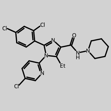 CCc1c(C(=O)NN2CCCCC2)nc(-c2ccc(Cl)cc2Cl)n1-c1ccc(Cl)cn1